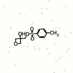 Cc1ccc(S(=O)(=O)OCC2(O)COC2)cc1